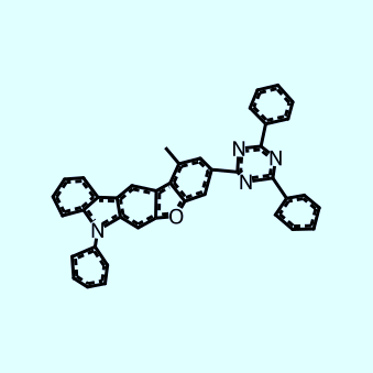 Cc1cc(-c2nc(-c3ccccc3)nc(-c3ccccc3)n2)cc2oc3cc4c(cc3c12)c1ccccc1n4-c1ccccc1